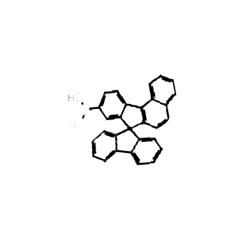 OB(O)c1ccc2c(c1)C1(c3ccccc3-c3ccccc31)c1ccc3ccccc3c1-2